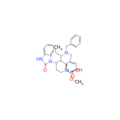 CCC(C1CN(C(=O)O)CCC1n1c(=O)[nH]c2ccccc21)N(Cc1ccccc1)Cc1ccc(OC)cc1